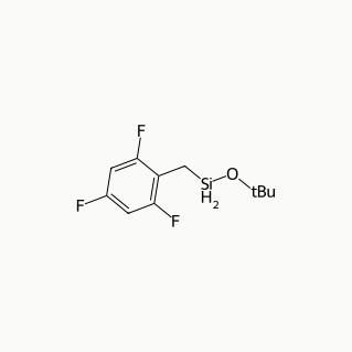 CC(C)(C)O[SiH2]Cc1c(F)cc(F)cc1F